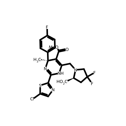 COC(=O)C1=C(CN2CC(F)(F)C[C@H]2C(=O)O)NC(c2ncc(Cl)s2)=N[C@@]1(C)c1ccc(F)cc1